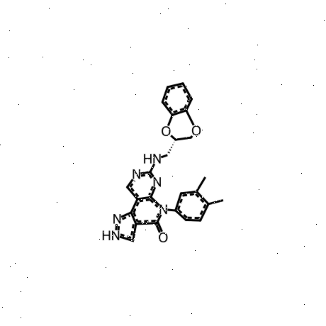 Cc1ccc(-n2c(=O)c3c[nH]nc3c3cnc(NC[C@H]4COc5ccccc5O4)nc32)cc1C